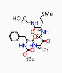 CSCC[C@H](N[Se]C(=O)[C@@H](NC(=O)[C@H](Cc1ccccc1)NC(=O)OC(C)(C)C)C(C)C)C(=O)NCC(=O)O